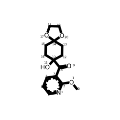 COc1ncccc1C(=O)C1(O)CCC2(CC1)OCCO2